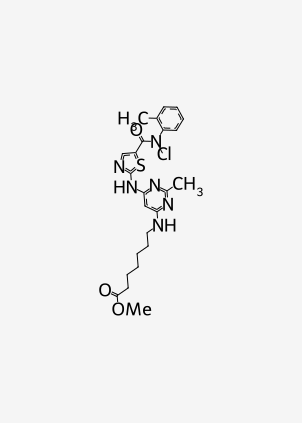 COC(=O)CCCCCCNc1cc(Nc2ncc(C(=O)N(Cl)c3ccccc3C)s2)nc(C)n1